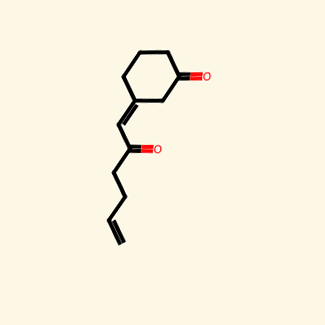 C=CCCC(=O)/C=C1/CCCC(=O)C1